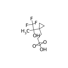 CC(O)(C(F)(F)F)C1(CCS(=O)(=O)O)CC1